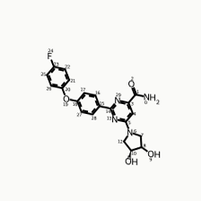 NC(=O)c1cc(N2CC(O)[C@@H](O)C2)nc(-c2ccc(Oc3ccc(F)cc3)cc2)n1